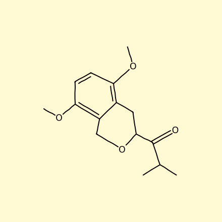 COc1ccc(OC)c2c1COC(C(=O)C(C)C)C2